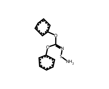 NSN=C(Oc1ccccc1)Oc1ccccc1